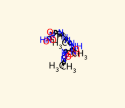 C[C@H]1CN([C@H]2CCN3Cc4ccc5c(c4C[C@@H]3C2)CN(C2CCC(=O)NC2=O)C5=O)CCN1c1ccc(Nc2cc(-c3ccnc(N4CCn5c(cc6c5CC(C)(C)C6)C4=O)c3CO)cn(C)c2=O)nc1